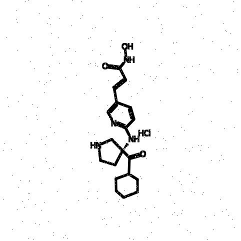 Cl.O=C(/C=C/c1ccc(N[C@]2(C(=O)C3CCCCC3)CCNC2)nc1)NO